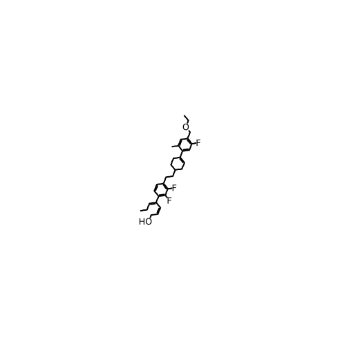 CC/C=C(\C=C/CO)c1ccc(CCC2CC=C(c3cc(F)c(COCC)cc3C)CC2)c(F)c1F